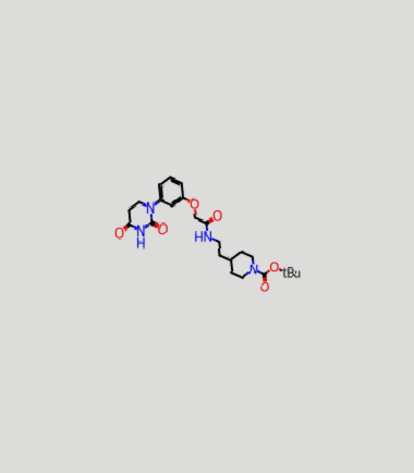 CC(C)(C)OC(=O)N1CCC(CCNC(=O)COc2cccc(N3CCC(=O)NC3=O)c2)CC1